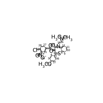 COc1ccc([C@@H]2Sc3ccccc3N(CCN(C)C)C(=O)[C@@H]2OC(=O)c2ccc(Cl)c([N+](=O)[O-])c2)cc1